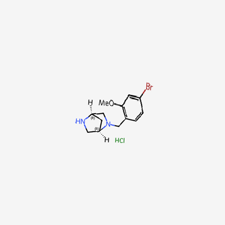 COc1cc(Br)ccc1CN1C[C@H]2C[C@@H]1CN2.Cl